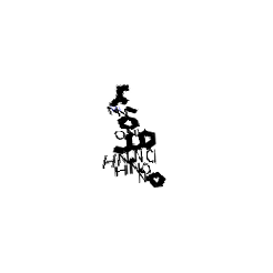 C=CN(/N=C\C(C)CC)c1ccc(NC(=O)C2=C(C)NC(Nc3nc4ccccc4o3)=NC2c2ccccc2Cl)cc1